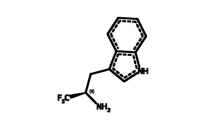 N[C@H](Cc1c[nH]c2ccccc12)C(F)(F)F